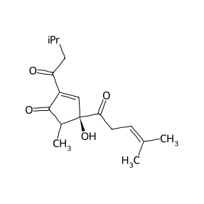 CC(C)=CCC(=O)[C@@]1(O)C=C(C(=O)CC(C)C)C(=O)C1C